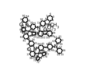 CC1(C)c2ccccc2-c2ccc(N(c3ccc4c(c3)C3(c5ccccc5-c5c(-c6ccc7c(c6)Oc6cccc8c6N7c6ccc(-c7ccc(N(c9ccccc9)c9ccccc9)cc7)cc6C86c7ccccc7-c7ccccc76)cccc53)c3cccc5c3N4c3ccccc3O5)c3cccc4c3oc3ccccc34)cc21